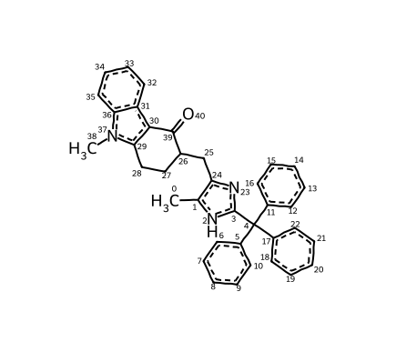 Cc1[nH]c(C(c2ccccc2)(c2ccccc2)c2ccccc2)nc1CC1CCc2c(c3ccccc3n2C)C1=O